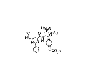 CCCCOP(=O)(O)C[C@H](NC(=O)c1cc(NC2CC2)nc(-c2ccccc2)n1)C(=O)N1CCN(OC(=O)O)CC1